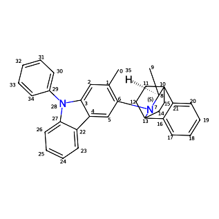 Cc1cc2c(cc1N1[C@@H](C)C34CCC1(CC3)c1ccccc14)c1ccccc1n2-c1ccccc1